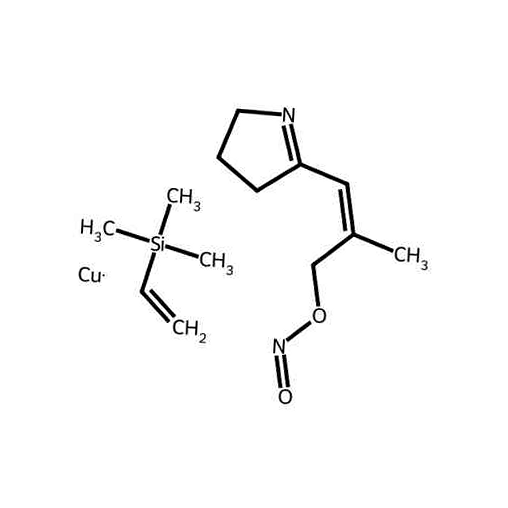 C=C[Si](C)(C)C.CC(=CC1=NCCC1)CON=O.[Cu]